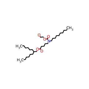 CCCCCCCCCCN(CCCCC(=O)OCC(CCCCCC)CCCCCC)C(=O)OCC=O